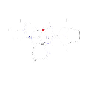 CN(C)Cc1cnc(N2[C@@H]3CC[C@H]2C[C@H](n2c(=O)c(=O)n(C)c4cc(Cl)cnc42)C3)nc1